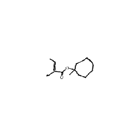 CC=C(C)C(=O)OC1(C)CCCCCC1